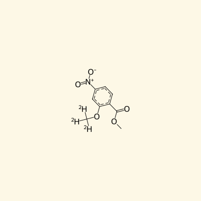 [2H]C([2H])([2H])Oc1cc([N+](=O)[O-])ccc1C(=O)OC